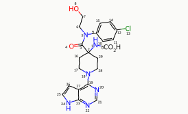 O=C(O)NC1(C(=O)N(CCO)c2ccc(Cl)cc2)CCN(c2ncnc3[nH]ccc23)CC1